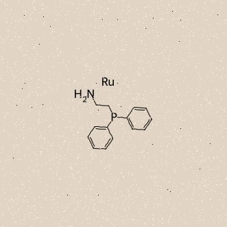 NCCP(c1ccccc1)c1ccccc1.[Ru]